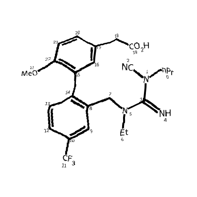 CCCN(C#N)C(=N)N(CC)Cc1cc(C(F)(F)F)ccc1-c1cc(CC(=O)O)ccc1OC